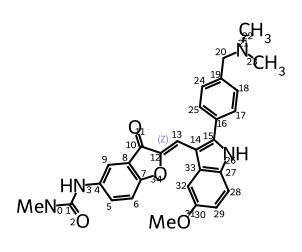 CNC(=O)Nc1ccc2c(c1)C(=O)/C(=C/c1c(-c3ccc(CN(C)C)cc3)[nH]c3ccc(OC)cc13)O2